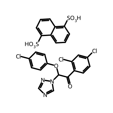 O=C(c1ccc(Cl)cc1Cl)C(Oc1ccc(Cl)cc1)n1cncn1.O=S(=O)(O)c1cccc2c(S(=O)(=O)O)cccc12